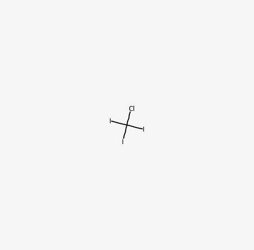 ClC(I)(I)I